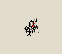 [2H]C([2H])(C(C)C)C(N(C([2H])([2H])[2H])C([2H])([2H])[2H])C1(c2ccc(Cl)cc2)CCC1